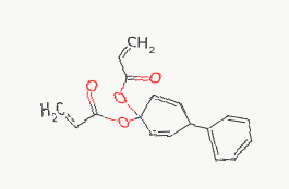 C=CC(=O)OC1(OC(=O)C=C)C=CC(c2ccccc2)C=C1